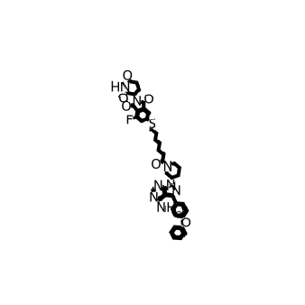 Nc1ncnc2c1c(-c1ccc(Oc3ccccc3)cc1)nn2[C@@H]1CCCN(C(=O)CCCCCCSc2cc(F)c3c(c2)C(=O)N(C2CCC(=O)NC2=O)C3=O)C1